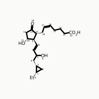 CC[C@H]1C[C@H]1CC(O)/C=C/[C@H]1[C@H](O)CC(=O)[C@@H]1C/C=C\CCCC(=O)O